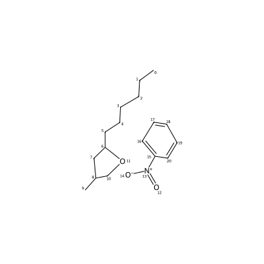 CCCCCCC1CC(C)CO1.O=[N+]([O-])c1ccccc1